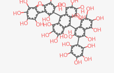 Oc1c(O)c(O)c(-c2c(O)c(-c3c4c(O)c(O)c(O)c(O)c4c(-c4c(O)c(O)c5oc6c(O)c(O)c(O)c(O)c6c5c4O)c4c(O)c(O)c(O)c(O)c34)c3c(O)c(O)c(O)c(O)c3c2O)c(O)c1O